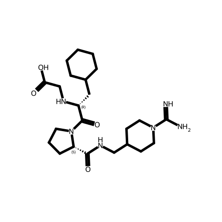 N=C(N)N1CCC(CNC(=O)[C@@H]2CCCN2C(=O)[C@@H](CC2CCCCC2)NCC(=O)O)CC1